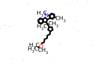 Cc1ccc2c(c1)C1C(c3ccccc3C1C(C)(C)C1CCC(CCCCCCOC(C)(C)C)C1)N2C